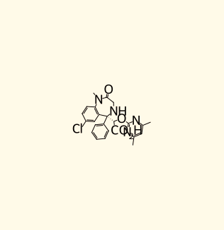 Cc1cc(C)nc(OC(C(=O)O)[C@@]2(c3ccccc3)NCC(=O)N(C)c3ccc(Cl)cc32)n1